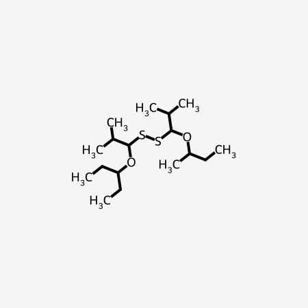 CCC(C)OC(SSC(OC(CC)CC)C(C)C)C(C)C